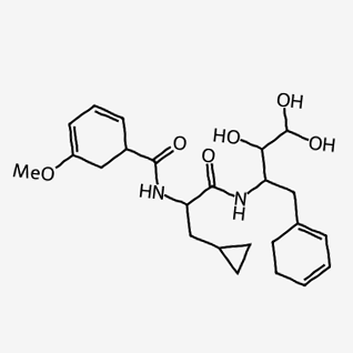 COC1=CC=CC(C(=O)NC(CC2CC2)C(=O)NC(CC2=CC=CCC2)C(O)C(O)O)C1